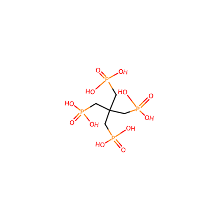 O=P(O)(O)CC(CP(=O)(O)O)(CP(=O)(O)O)CP(=O)(O)O